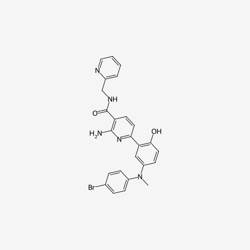 CN(c1ccc(Br)cc1)c1ccc(O)c(-c2ccc(C(=O)NCc3ccccn3)c(N)n2)c1